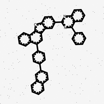 c1ccc(-c2nc(-c3ccc4oc5c6ccccc6c(-c6ccc(-c7ccc8ccccc8c7)cc6)cc5c4c3)nc3ccccc23)cc1